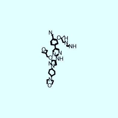 C[C@@H](CNC=N)Oc1cc(-c2cnc(Nc3cn(C4CCC(N5CCOCC5)CC4)nc3OCC3COC3)nc2)ccc1C#N